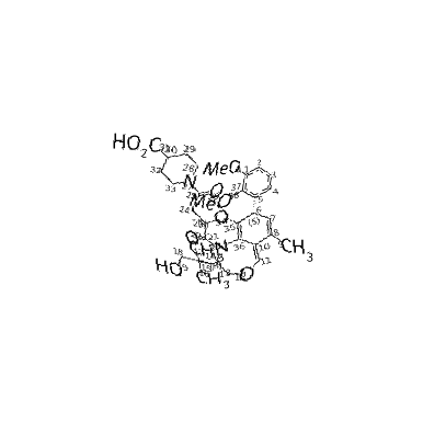 COc1cccc([C@@H]2C=C(C)C3=COC[C@@H](C(C)(C)CO)N4C(=O)[C@@H](CC(=O)N5CCC(C(=O)O)CC5)OC2=C34)c1OC